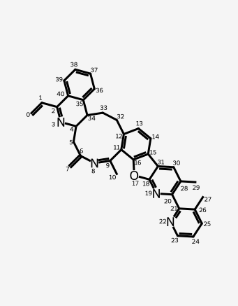 C=CC1=NC2CC(=C)/N=C(/C)c3c(ccc4c3oc3nc(-c5ncccc5C)c(C)cc34)CCC2c2ccccc21